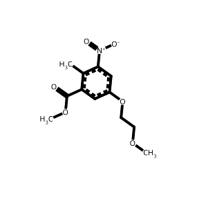 COCCOc1cc(C(=O)OC)c(C)c([N+](=O)[O-])c1